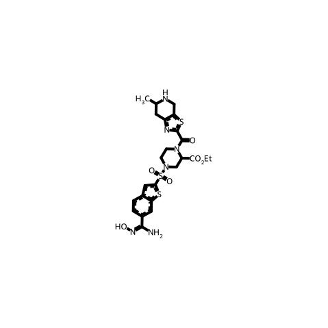 CCOC(=O)C1CN(S(=O)(=O)c2cc3ccc(/C(N)=N\O)cc3s2)CCN1C(=O)c1nc2c(s1)CNC(C)C2